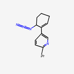 CC(C)c1ccc(C2=CCCCC2N=[N+]=[N-])cn1